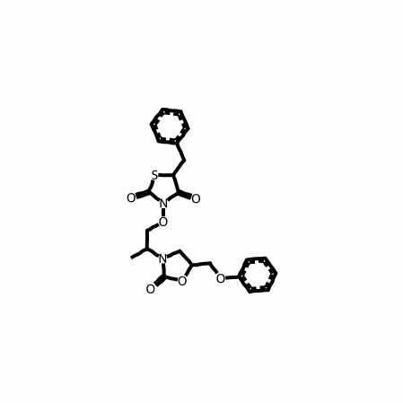 CC(CON1C(=O)SC(Cc2ccccc2)C1=O)N1CC(COc2ccccc2)OC1=O